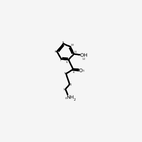 NCCCC(=O)c1ccccc1O